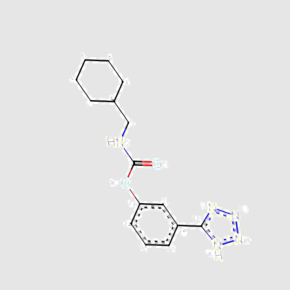 O=C(NCC1CCCCC1)Oc1cccc(-c2nnn[nH]2)c1